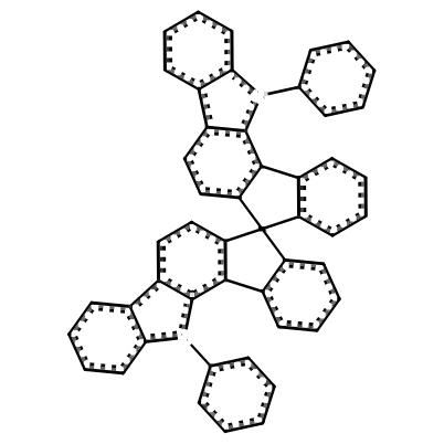 c1ccc(-n2c3ccccc3c3ccc4c(c32)-c2ccccc2C42c3ccccc3-c3c2ccc2c4ccccc4n(-c4ccccc4)c32)cc1